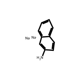 Nc1ccc2ccccc2c1.[Na].[Na]